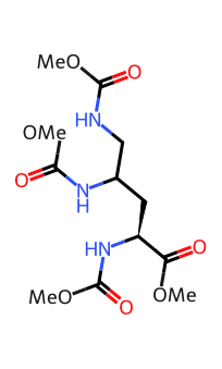 COC(=O)NCC(C[C@H](NC(=O)OC)C(=O)OC)NC(=O)OC